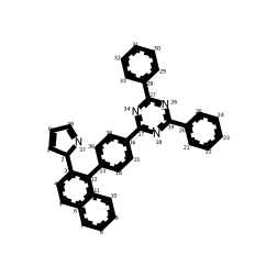 C1=CC(c2ccc3ccccc3c2-c2ccc(-c3nc(-c4ccccc4)nc(-c4ccccc4)n3)cc2)N=C1